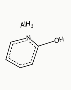 Oc1ccccn1.[AlH3]